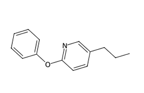 CCCc1ccc(Oc2ccccc2)nc1